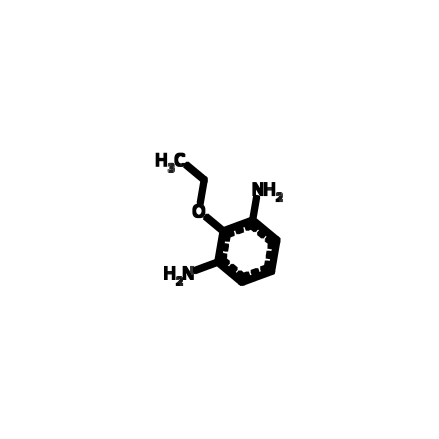 CCOc1c(N)cccc1N